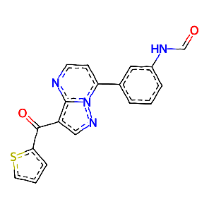 O=CNc1cccc(-c2ccnc3c(C(=O)c4cccs4)cnn23)c1